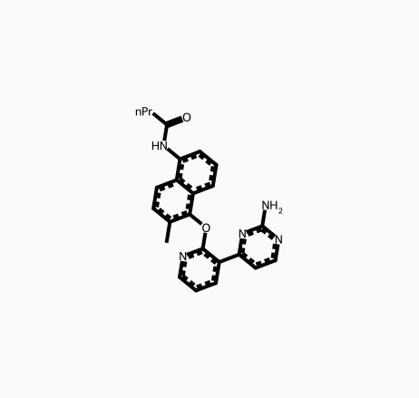 CCCC(=O)Nc1cccc2c(Oc3ncccc3-c3ccnc(N)n3)c(C)ccc12